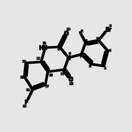 Cc1c(Br)cccc1-n1c(=O)[nH]c2ccc(F)cc2c1=O